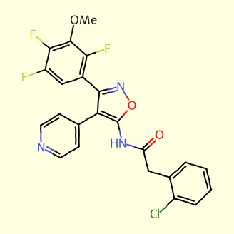 COc1c(F)c(F)cc(-c2noc(NC(=O)Cc3ccccc3Cl)c2-c2ccncc2)c1F